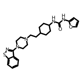 O=C(Nc1ccco1)NC1CCC(CCN2CCN(c3nsc4ccccc34)CC2)CC1